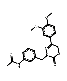 COc1ccc(C2=NN(Cc3cccc(NC(C)=O)c3)C(=O)SC2)cc1OC